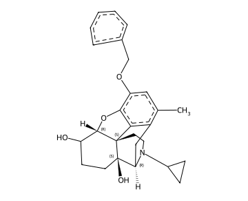 Cc1cc(OCc2ccccc2)c2c3c1C[C@H]1N(C4CC4)CC[C@@]34[C@@H](O2)C(O)CC[C@@]14O